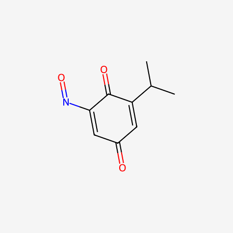 CC(C)C1=CC(=O)C=C(N=O)C1=O